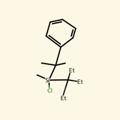 CCC(CC)(CC)[Si](C)(Cl)C(C)(C)c1ccccc1